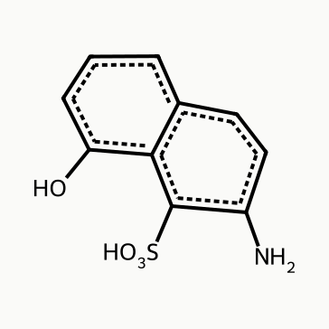 Nc1ccc2cccc(O)c2c1S(=O)(=O)O